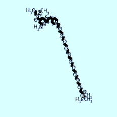 CCCN(OCC)C(=O)C1=Cc2sc(CC3CCN(CCOCCOCCOCCOCCOCCOCCOCCOCCOCCOCCC(=O)OC(C)(C)C)CC3)cc2N=C(N)C1